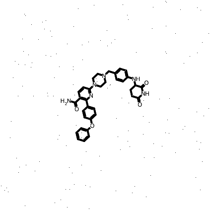 NC(=O)c1ccc(N2CCN(Cc3ccc(NC4CCC(=O)NC4=O)cc3)CC2)nc1-c1ccc(Oc2ccccc2)cc1